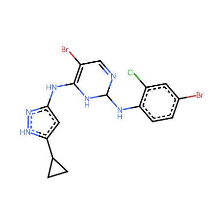 Clc1cc(Br)ccc1NC1N=CC(Br)=C(Nc2cc(C3CC3)[nH]n2)N1